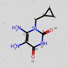 Nc1c(N)n(CC2CC2)c(=O)[nH]c1=O